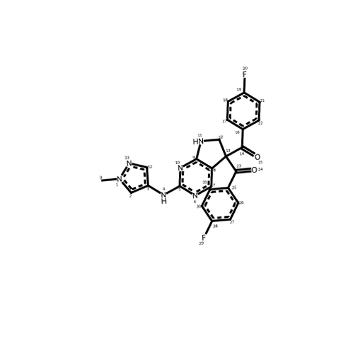 Cn1cc(Nc2ncc3c(n2)NCC3(C(=O)c2ccc(F)cc2)C(=O)c2ccc(F)cc2)cn1